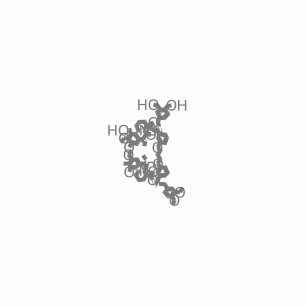 CC[C@H](C(=O)N1CCCCC1C(=O)O[C@H](CCc1ccc(OC)c(OC)c1)c1cccc(OCCCOc2cccc([C@@H](CCc3ccc(CO)c(CO)c3)OC(=O)C3CCCCN3C(=O)[C@@H](CC)c3cc(CO)c(OC)c(OC)c3)c2)c1)c1cc(OC)c(C)c(OC)c1